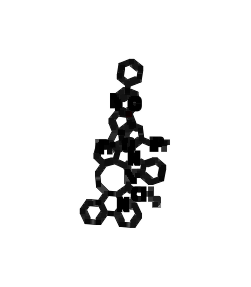 C=C1C2C(CCc3ccc4c(oc5cc6oc(-c7ccccc7)nc6cc54)c3-c3n(-c4c(C(C)C)cc(-c5ccccc5)cc4C(C)C)c4ccccc4[n+]31)c1ccccc1-c1cccc[n+]12